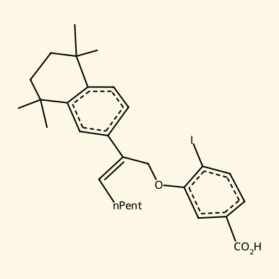 CCCCCC=C(COc1cc(C(=O)O)ccc1I)c1ccc2c(c1)C(C)(C)CCC2(C)C